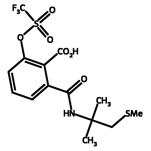 CSCC(C)(C)NC(=O)c1cccc(OS(=O)(=O)C(F)(F)F)c1C(=O)O